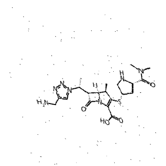 C[C@H]([C@H]1C(=O)N2C(C(=O)O)=C(S[C@@H]3CN[C@H](C(=O)N(C)C)C3)[C@H](C)[C@H]12)n1cc(CN)nn1